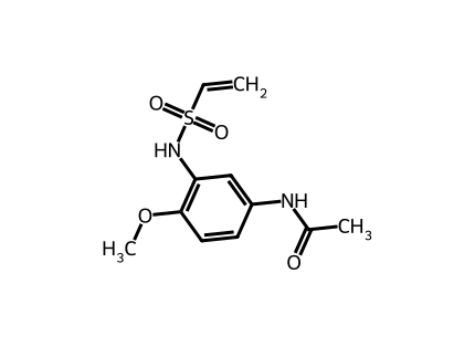 C=CS(=O)(=O)Nc1cc(NC(C)=O)ccc1OC